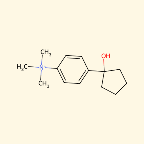 C[N+](C)(C)c1ccc(C2(O)CCCC2)cc1